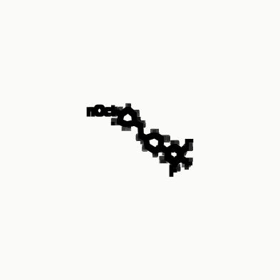 CCCCCCCCC1CCC(CCC2CCC(c3cc(F)c(F)c(F)c3)CC2)CC1